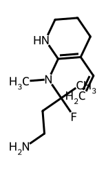 C=CC1=C(N(C)C(C)(F)CCN)NCCC1